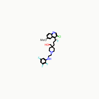 COc1ccc2ncc(Cl)c([C@H](F)CCC3(CO)CCN(CCNc4cc(F)cc(F)c4F)CC3)c2c1